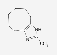 ClC(Cl)(Cl)c1nc2c([nH]1)CCCCCC2